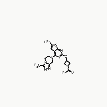 CCCc1cc2c(N3CCn4c(nnc4C(F)(F)F)C3)nc(OC3CN(C(=O)C(C)C)C3)nc2s1